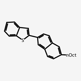 CCCCCCCCc1ccc2cc(-c3cc4ccccc4s3)ccc2c1